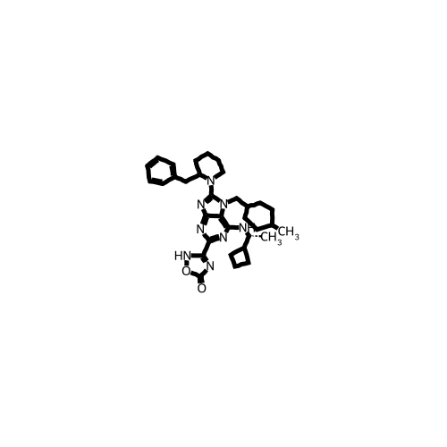 CC1CCC(Cn2c(N3CCCCC3Cc3ccccc3)nc3nc(-c4nc(=O)o[nH]4)nc(N[C@H](C)C4CCC4)c32)CC1